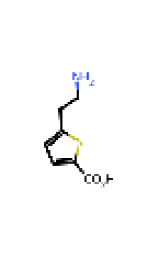 NCCc1ccc(C(=O)O)s1